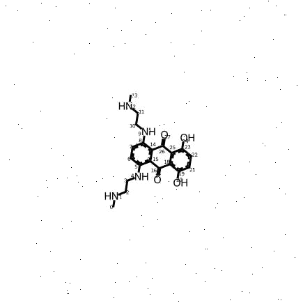 CNCCNc1ccc(NCCNC)c2c1C(=O)c1c(O)ccc(O)c1C2=O